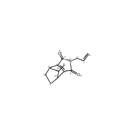 C=CCN1C(=O)C2=C(C1=O)C1CCC2C1C